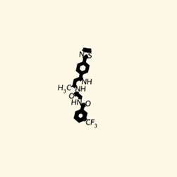 C[C@H](CC(=N)C1CCC(c2nccs2)CC1)NC(=O)CNC(=O)c1cccc(C(F)(F)F)c1